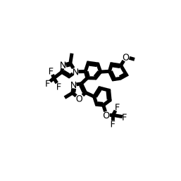 COc1cccc(-c2ccc(-n3cc(C(F)(F)F)nc3C)c(-c3nc(C)oc3-c3cccc(OC(F)(F)F)c3)c2)c1